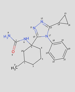 CC1CCCC(NC(N)=O)(c2nnc(C3CC3)n2-c2ccccc2)C1